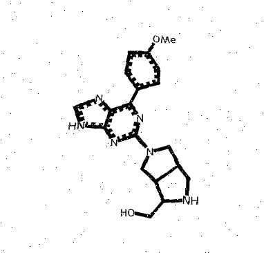 COc1ccc(-c2nc(N3CC4CNC(CO)C4C3)nc3[nH]cnc23)cc1